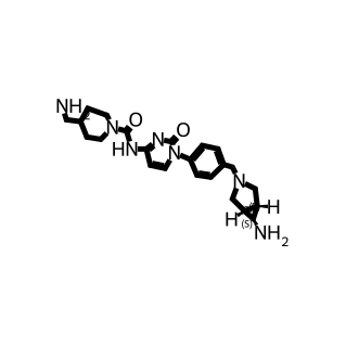 NCC1CCN(C(=O)Nc2ccn(-c3ccc(CN4C[C@@H]5[C@@H](N)[C@@H]5C4)cc3)c(=O)n2)CC1